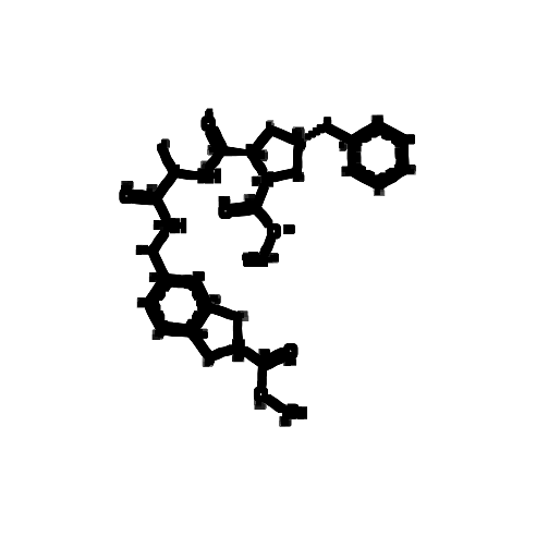 CC(NC(=O)[C@H]1C[C@H](Cc2ccccc2)CN1C(=O)OC(C)(C)C)C(=O)NCc1ccc2c(c1)CN(C(=O)OC(C)(C)C)C2